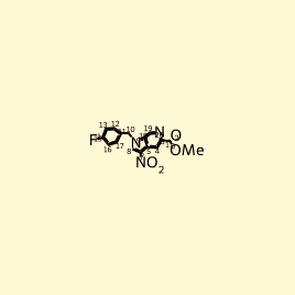 COC(=O)c1cc2c([N+](=O)[O-])cn(Cc3ccc(F)cc3)c2cn1